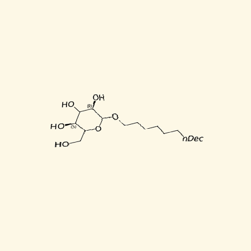 CCCCCCCCCCCCCCCCOC1OC(CO)[C@@H](O)C(O)[C@H]1O